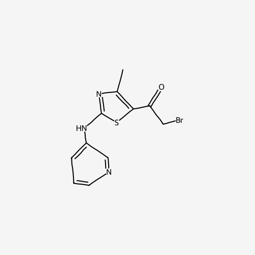 Cc1nc(Nc2cccnc2)sc1C(=O)CBr